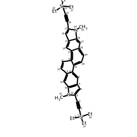 CC[Si](C#Cc1cc2cc3c(ccc4c5cc6cc(C#C[Si](CC)(CC)CC)n(C)c6cc5ccc34)cc2n1C)(CC)CC